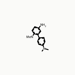 CNc1ccc(N)cc1-c1ccc(N(C)C)cc1